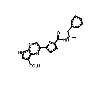 C[C@H](Cc1ccccc1)NC(=O)c1ccc(-c2cnc3[nH]cc(C(=O)O)c3n2)s1